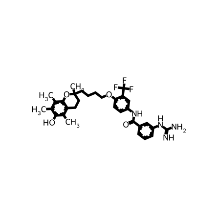 Cc1c(C)c2c(c(C)c1O)CCC(C)(CCCCOc1ccc(NC(=O)c3cccc(NC(=N)N)c3)cc1C(F)(F)F)O2